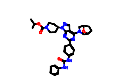 CC(C)OC(=O)N1CCC(n2ncc3c(N4CC5CCC(C4)O5)nc(-c4ccc(NC(=O)Nc5ccccc5)cc4)nc32)CC1